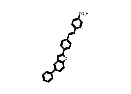 O=C(O)c1ccc(C=Cc2ccc(-c3cc4cc(-c5ccccc5)ccc4o3)cc2)cc1